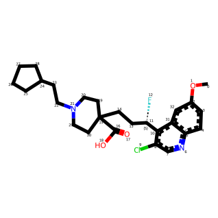 COc1ccc2ncc(Cl)c([C@@H](F)CCC3(C(=O)O)CCN(CCC4CCCC4)CC3)c2c1